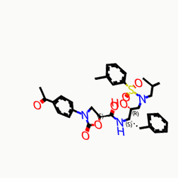 CC(=O)c1ccc(N2C[C@@H](C(=O)N[C@@H](Cc3ccccc3)[C@H](O)CN(CC(C)C)S(=O)(=O)c3cccc(C)c3)OC2=O)cc1